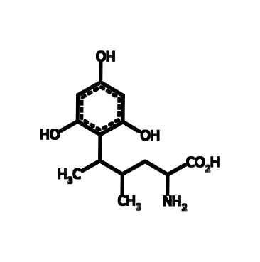 CC(CC(N)C(=O)O)C(C)c1c(O)cc(O)cc1O